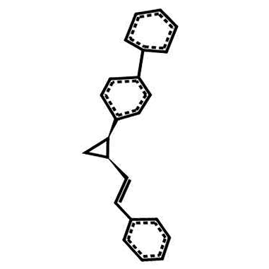 C(=C\[C@H]1C[C@H]1c1ccc(-c2ccccc2)cc1)/c1ccccc1